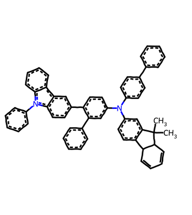 CC1(C)c2cc(N(c3ccc(-c4ccccc4)cc3)c3ccc(-c4ccc5c(c4)c4ccccc4n5-c4ccccc4)c(-c4ccccc4)c3)ccc2C2C=CC=CC21